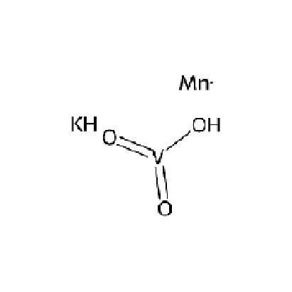 [KH].[Mn].[O]=[V](=[O])[OH]